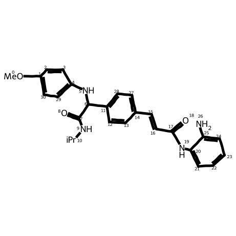 COc1ccc(NC(C(=O)NC(C)C)c2ccc(/C=C/C(=O)Nc3ccccc3N)cc2)cc1